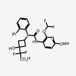 COc1ccc(NC(=O)N(c2ccccc2C(C)C)C2CC(O)(C(F)(F)C(=O)O)C2)c(OC(F)F)n1